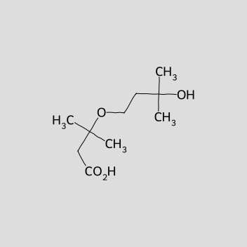 CC(C)(O)CCOC(C)(C)CC(=O)O